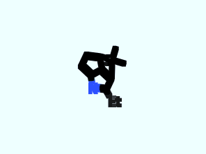 CCC1=NC2=CC=C3C2=C1[Si]3(C)C